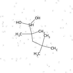 CC(C)(C)CC(C)(C)[SiH](O)O